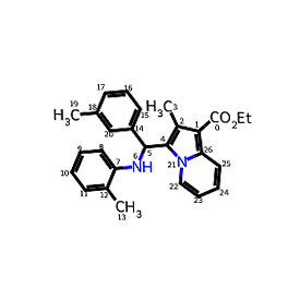 CCOC(=O)c1c(C)c(C(Nc2ccccc2C)c2cccc(C)c2)n2ccccc12